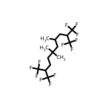 CC(CC(C(F)(F)F)C(F)(F)F)CC(C)(C)CCC(C(F)(F)F)C(F)(F)F